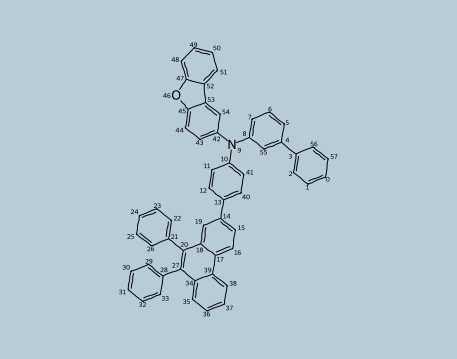 c1ccc(-c2cccc(N(c3ccc(-c4ccc5c(c4)c(-c4ccccc4)c(-c4ccccc4)c4ccccc45)cc3)c3ccc4oc5ccccc5c4c3)c2)cc1